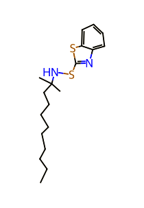 CCCCCCCCCC(C)(C)NSc1nc2ccccc2s1